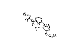 CCOC(=O)c1cnn(-c2cccc(NC(=O)OC(C)(C)C)n2)c1C(F)(F)F